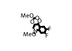 COC(=O)Oc1cn(OC)c2cc(F)c(F)cc2c1=O